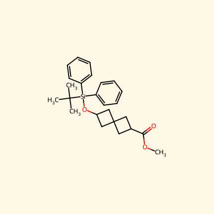 COC(=O)C1CC2(CC(O[Si](c3ccccc3)(c3ccccc3)C(C)(C)C)C2)C1